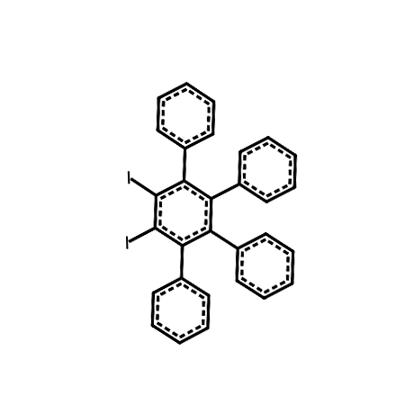 Ic1c(I)c(-c2ccccc2)c(-c2ccccc2)c(-c2ccccc2)c1-c1ccccc1